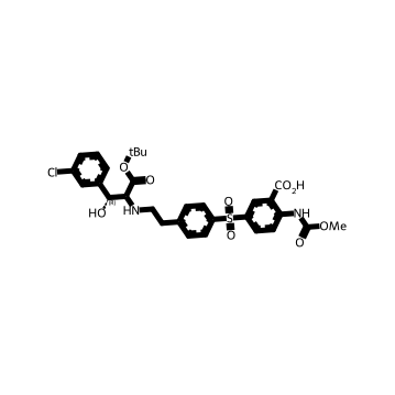 COC(=O)Nc1ccc(S(=O)(=O)c2ccc(CCNC(C(=O)OC(C)(C)C)[C@H](O)c3cccc(Cl)c3)cc2)cc1C(=O)O